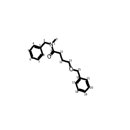 CN(Cc1ccccc1)C(=O)CCCOCc1ccccc1